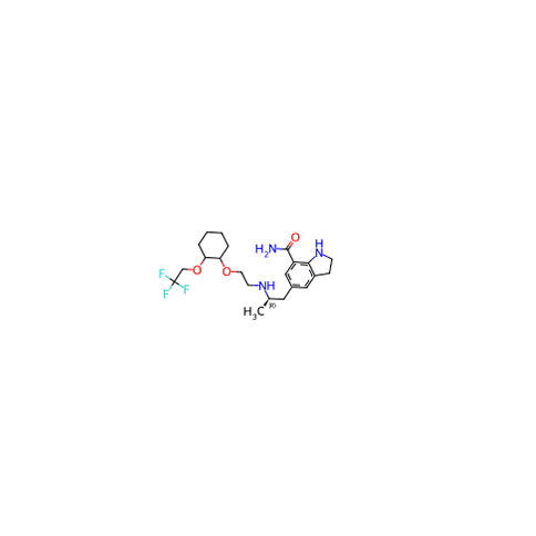 C[C@H](Cc1cc2c(c(C(N)=O)c1)NCC2)NCCOC1CCCCC1OCC(F)(F)F